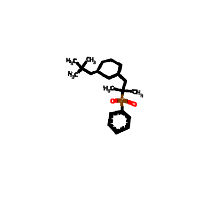 CC(C)(C)CC1CCCC(CC(C)(C)S(=O)(=O)c2ccccc2)C1